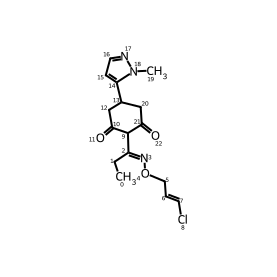 CCC(=NOC/C=C/Cl)C1C(=O)CC(c2ccnn2C)CC1=O